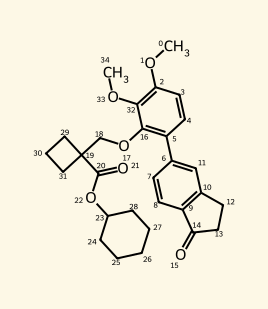 COc1ccc(-c2ccc3c(c2)CCC3=O)c(OCC2(C(=O)OC3CCCCC3)CCC2)c1OC